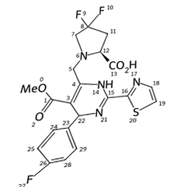 COC(=O)C1=C(CN2CC(F)(F)C[C@H]2C(=O)O)NC(c2nccs2)=NC1c1ccc(F)cc1